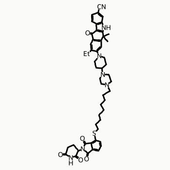 CCc1cc2c(cc1N1CCC(N3CCN(CCCCCCCCCSc4cccc5c4C(=O)N(C4CCC(=O)NC4=O)C5=O)CC3)CC1)C(C)(C)c1[nH]c3cc(C#N)ccc3c1C2=O